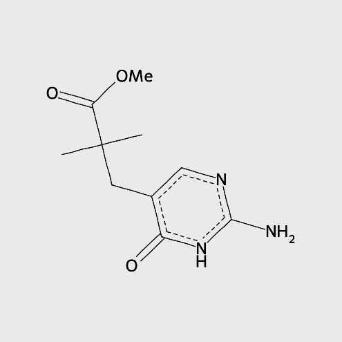 COC(=O)C(C)(C)Cc1cnc(N)[nH]c1=O